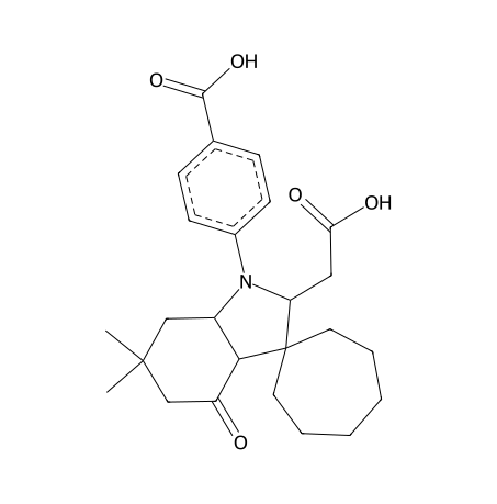 CC1(C)CC(=O)C2C(C1)N(c1ccc(C(=O)O)cc1)C(CC(=O)O)C21CCCCCC1